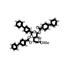 CO/N=C/[C@H](OC(=O)c1ccc(-c2ccccc2)cc1)[C@@H](OC(=O)c1ccc(-c2ccccc2)cc1)[C@H](Br)COC(=O)c1ccc(-c2ccccc2)cc1